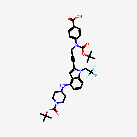 CC(C)(C)OC(=O)N1CCC(Nc2cccc3c2cc(C#CCN(C(=O)OC(C)(C)C)c2ccc(C(=O)O)cc2)n3CC(F)(F)F)CC1